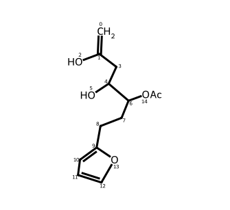 C=C(O)CC(O)C(CCc1ccco1)OC(C)=O